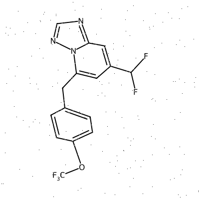 FC(F)c1cc(Cc2ccc(OC(F)(F)F)cc2)n2ncnc2c1